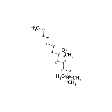 C=O.CCCCCCCCCCCC[N+](C)(C)C